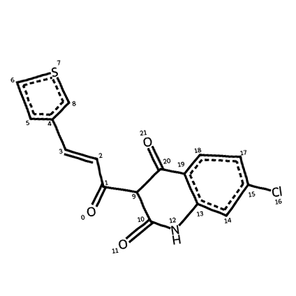 O=C(/C=C/c1ccsc1)C1C(=O)Nc2cc(Cl)ccc2C1=O